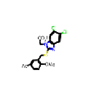 COc1ccc(C(C)=O)cc1CSc1nc2cc(Cl)c(Cl)cc2n1CC(=O)O